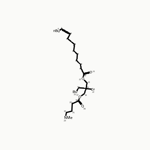 CCCC/C=C\CCCCCCCC(=O)OCC(CC)(COC(=O)CCCNC)CC(C)CC